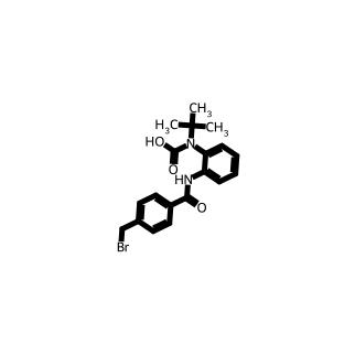 CC(C)(C)N(C(=O)O)c1ccccc1NC(=O)c1ccc(CBr)cc1